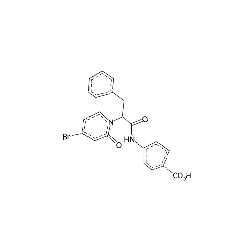 O=C(O)c1ccc(NC(=O)C(Cc2ccccc2)n2ccc(Br)cc2=O)cc1